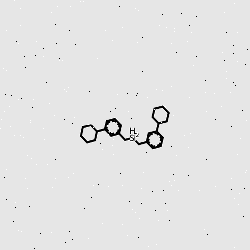 c1cc(C[SiH2]Cc2cccc(C3CCCCC3)c2)cc(C2CCCCC2)c1